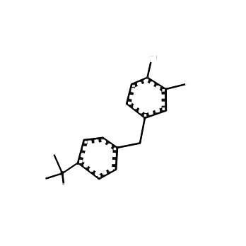 Cc1cc(Cc2ccc(C(F)(F)F)cc2)ccc1Br